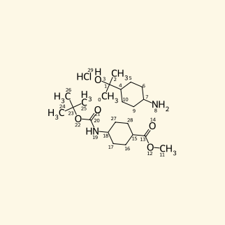 CC(C)(O)C1CCC(N)CC1.COC(=O)C1CCC(NC(=O)OC(C)(C)C)CC1.Cl